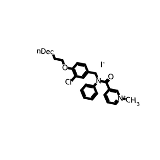 CCCCCCCCCCCCOc1ccc(CN(C(=O)c2ccc[n+](C)c2)c2ccccc2)cc1Cl.[I-]